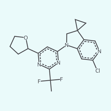 CC(F)(F)c1nc(C2CCCO2)cc(N2CC3(CC3)c3cnc(Cl)cc32)n1